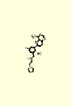 Cl.Nc1ncnc2ccc(-c3cc(F)cc(CNCCN4CCCC4)c3)nc12